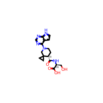 O=C(O)[C@H](CO)NC(=O)[C@H]1CCN(c2ncnc3[nH]ccc23)CC12CC2